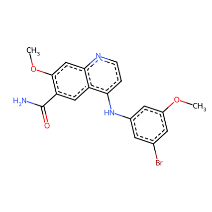 COc1cc(Br)cc(Nc2ccnc3cc(OC)c(C(N)=O)cc23)c1